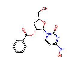 O=C(O[C@@H]1C[C@@H](CO)O[C@H]1n1ccc(NO)nc1=O)c1ccccc1